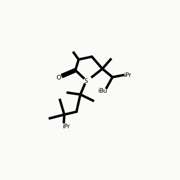 CCC(C)C(C(C)C)C(C)(C)CC(C)C(=O)SC(C)(C)CC(C)(C)C(C)C